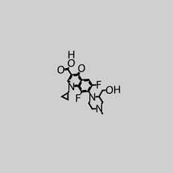 CN1CCN(c2c(F)cc3c(=O)c(C(=O)O)cn(C4CC4)c3c2F)C(CO)C1